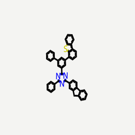 c1ccc(-c2cc(-c3nc(-c4ccccc4)nc(-c4ccc5c(c4)Cc4ccccc4-5)n3)cc(-c3cccc4c3sc3ccccc34)c2)cc1